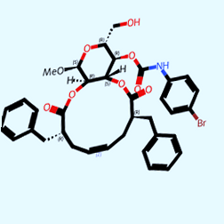 CO[C@H]1O[C@H](CO)[C@@H](OC(=O)Nc2ccc(Br)cc2)[C@@H]2OC(=O)[C@@H](Cc3ccccc3)C/C=C\C[C@H](Cc3ccccc3)C(=O)O[C@@H]12